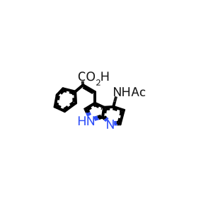 CC(=O)Nc1ccnc2[nH]cc(/C=C(/C(=O)O)c3ccccc3)c12